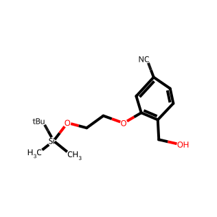 CC(C)(C)[Si](C)(C)OCCOc1cc(C#N)ccc1CO